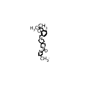 [CH2]c1ccnc(C(=O)N2CCC3(CCN(Cc4cccc5c4OC(C)(C)C5)CC3)CC2)c1